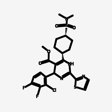 COC(=O)C1=C([C@H]2CC[C@@H](S(=O)(=O)N(C)C)CC2)NC(c2nccs2)=NC1c1ccc(F)c(F)c1Cl